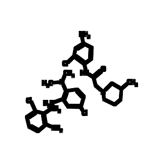 CC1CCCN(CC(=O)Nc2ccc(N)cc2Cl)C1.CN(C)c1ccc(Cl)cc1N.Nc1cccc(Cl)c1N